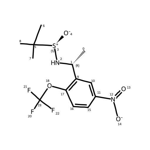 C[C@@H](N[S@+]([O-])C(C)(C)C)c1cc([N+](=O)[O-])ccc1OC(F)(F)F